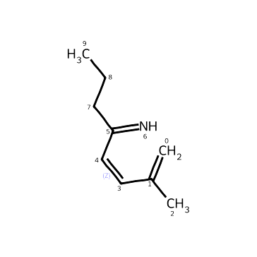 C=C(C)/C=C\C(=N)CCC